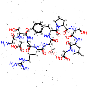 CC(C)C[C@H](NC(=O)[C@H](CO)NC(=O)[C@@H]1CCCN1C(=O)[C@H](Cc1ccccc1)NC(=O)[C@H](CO)NC(=O)[C@H](CCCNC(=N)N)NC(=O)[C@H](CC(=O)O)NC(=O)[C@H](CO)NC(=O)CN)C(=O)NCC(=O)O